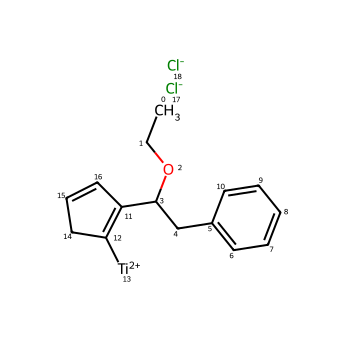 CCOC(Cc1ccccc1)C1=[C]([Ti+2])CC=C1.[Cl-].[Cl-]